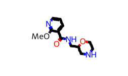 COc1ncccc1C(=O)NCC1CNCCO1